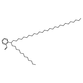 C=Cc1ccccc1C(CCCCCCCCCCCC)CCCCCCCCCCCCCCCCCCCCCCCCCCC